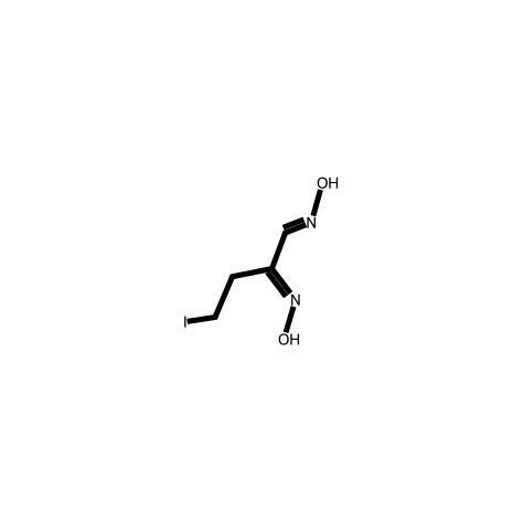 ON=CC(CCI)=NO